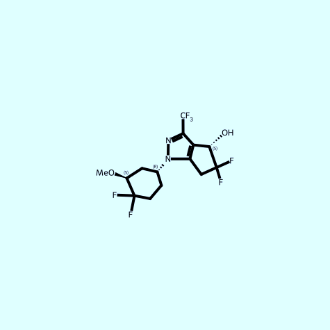 CO[C@H]1C[C@H](n2nc(C(F)(F)F)c3c2CC(F)(F)[C@H]3O)CCC1(F)F